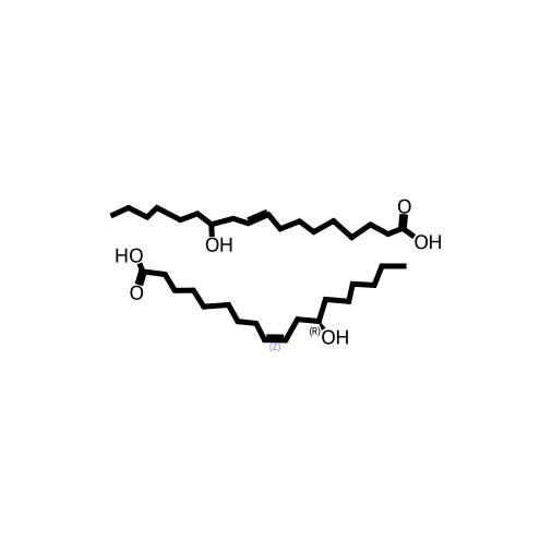 CCCCCCC(O)CC=CCCCCCCCC(=O)O.CCCCCC[C@@H](O)C/C=C\CCCCCCCC(=O)O